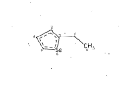 CCc1ccc[se]1